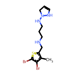 Cc1c(CNCCCNN2CC=CN2)sc(Br)c1Br